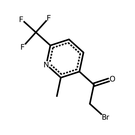 Cc1nc(C(F)(F)F)ccc1C(=O)CBr